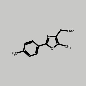 CC(=O)OCc1nc(-c2ccc(C(F)(F)F)cc2)oc1C